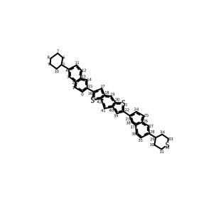 c1cc2cc(C3CCCCC3)ccc2cc1-c1cc2cc3sc(-c4ccc5cc(C6CCSCC6)ccc5c4)cc3cc2s1